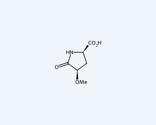 CO[C@@H]1C[C@H](C(=O)O)NC1=O